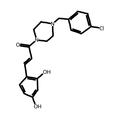 O=C(/C=C/c1ccc(O)cc1O)N1CCN(Cc2ccc(Cl)cc2)CC1